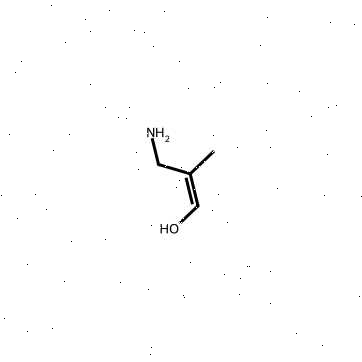 C/C(=C/O)CN